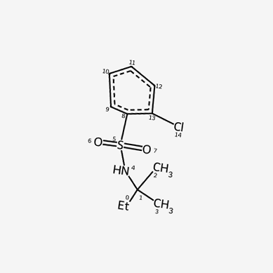 CCC(C)(C)NS(=O)(=O)c1ccccc1Cl